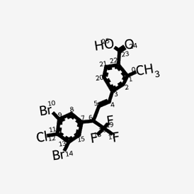 Cc1cc(/C=C/C(c2cc(Br)c(Cl)c(Br)c2)C(F)(F)F)ccc1C(=O)O